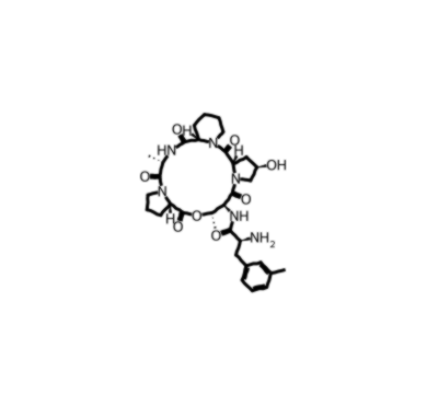 Cc1cccc(C[C@H](N)C(=O)N[C@@H]2C(=O)N3C[C@H](O)C[C@H]3C(=O)N3CCCC[C@H]3C(=O)N[C@@H](C)C(=O)N3CCC[C@H]3C(=O)O[C@H]2C)c1